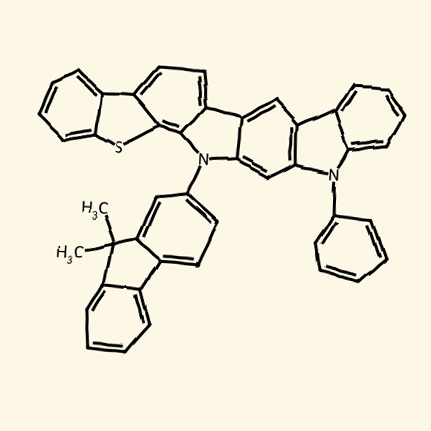 CC1(C)c2ccccc2-c2ccc(-n3c4cc5c(cc4c4ccc6c7ccccc7sc6c43)c3ccccc3n5-c3ccccc3)cc21